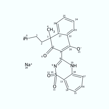 CC(C)CCC1(C)C(=O)C(C2=NS(=O)(=O)c3ccccc3N2)=C([O-])c2ccccc21.[Na+]